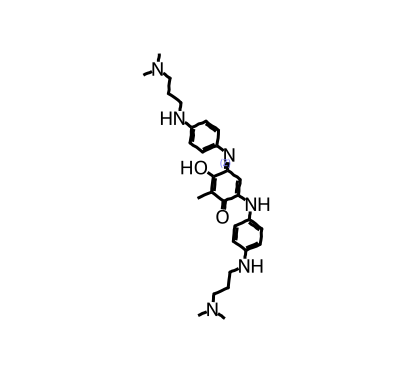 CC1=C(O)/C(=N\c2ccc(NCCCN(C)C)cc2)C=C(Nc2ccc(NCCCN(C)C)cc2)C1=O